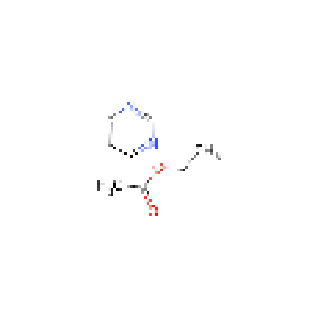 CCOC(C)=O.c1cncnc1